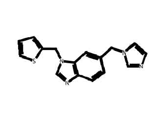 c1csc(Cn2cnc3ccc(Cn4ccnc4)cc32)c1